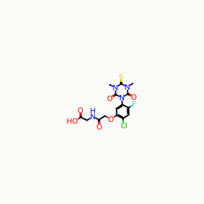 Cn1c(=S)n(C)c(=O)n(-c2cc(OCC(=O)NCC(=O)O)c(Cl)cc2F)c1=O